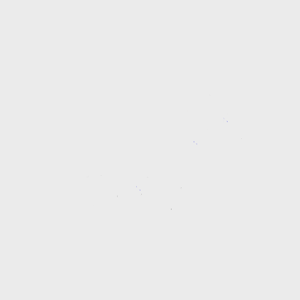 COc1nccc(CC(C)Oc2ccc(C(F)(F)F)cn2)n1